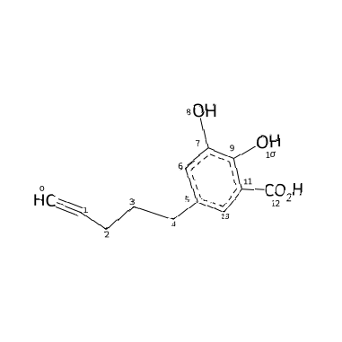 C#CCCCc1cc(O)c(O)c(C(=O)O)c1